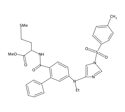 CCN(c1ccc(C(=O)NC(CCSC)C(=O)OC)c(-c2ccccc2)c1)c1cn(S(=O)(=O)c2ccc(C)cc2)cn1